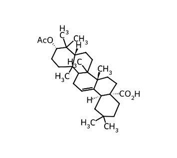 CC(=O)O[C@H]1CCC2(C)C3CC=C4[C@@H]5CC(C)(C)CC[C@]5(C(=O)O)CC[C@@]4(C)C3(C)CC[C@H]2C1(C)C